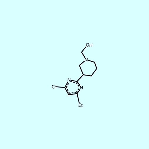 CCc1cc(Cl)nc(C2CCCN(CO)C2)n1